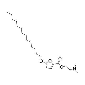 CCCCCCCCCCCCCCOc1ccc(C(=O)OCCN(C)C)o1